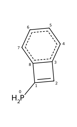 PC1=Cc2ccccc21